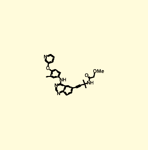 COCC(=O)NC(C)(C)C#Cc1ccc2ncnc(Nc3ccc(Oc4cccnc4)c(C)c3)c2c1